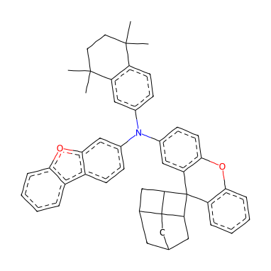 CC1(C)CCC(C)(C)c2cc(N(c3ccc4c(c3)C3(c5ccccc5O4)C4CC5CC6CC3C64C5)c3ccc4c(c3)oc3ccccc34)ccc21